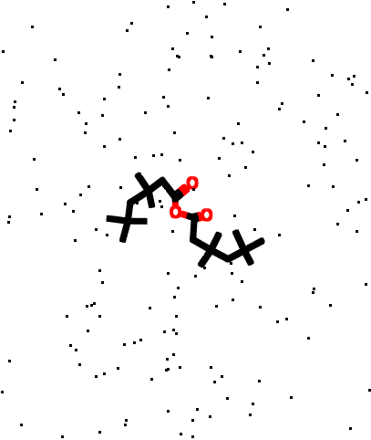 CC(C)(C)CC(C)(C)CC(=O)OC(=O)CC(C)(C)CC(C)(C)C